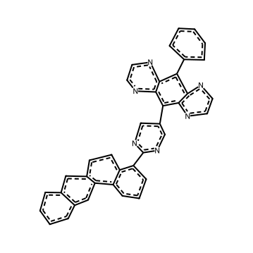 c1ccc(-c2c3nccnc3c(-c3cnc(-c4cccc5c4ccc4cc6ccccc6cc45)nc3)c3nccnc23)cc1